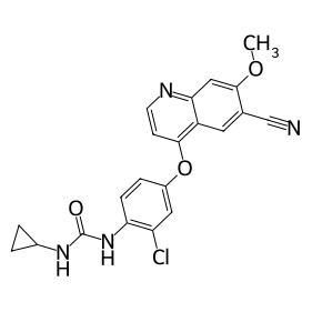 COc1cc2nccc(Oc3ccc(NC(=O)NC4CC4)c(Cl)c3)c2cc1C#N